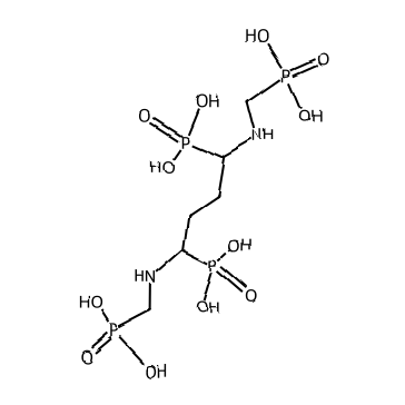 O=P(O)(O)CNC(CCC(NCP(=O)(O)O)P(=O)(O)O)P(=O)(O)O